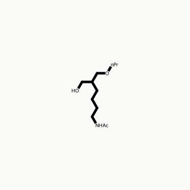 CCCOCC(CO)CCCCNC(C)=O